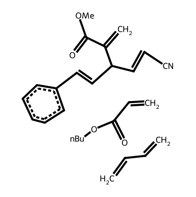 C=C(C(=O)OC)C(C=CC#N)C=Cc1ccccc1.C=CC(=O)OCCCC.C=CC=C